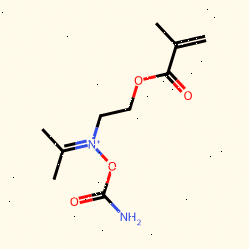 C=C(C)C(=O)OCC[N+](OC(N)=O)=C(C)C